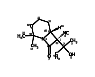 [C-]#[N+][C@]1(C(C)(C)O)C(=O)N2[C@@H]1CCOC2(C)C